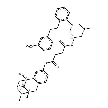 CCCC[C@@]12CCN(C)[C@@H](Cc3ccc(OC(=O)CCC(=O)O[C@H](COc4ccccc4CCc4cccc(OC)c4)CN(C)C)cc31)[C@H]2C